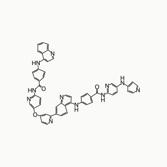 O=C(Nc1ccc(Nc2ccncc2)cn1)c1ccc(Nc2ccnc3cc(-c4cc(Oc5ccc(NC(=O)c6ccc(Nc7ccnc8ccccc78)cc6)nc5)ccn4)ccc23)cc1